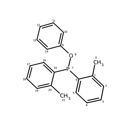 Cc1ccccc1P(Oc1ccccc1)c1ccccc1C